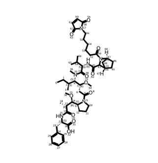 CC[C@H](C)[C@@H]([C@@H](CC(=O)N1CCC[C@H]1[C@H](OC)[C@@H](C)C(=O)N[C@@H](Cc1ccccc1)C(=O)O)OC)N(C)C(=O)[C@@H](NC(=O)C1[C@H]2CC[C@@H](C2)N1C(=O)CCCCCN1C(=O)C=CC1=O)C(C)C